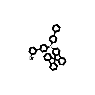 Brc1cccc(-c2ccc(N(c3ccc(-c4ccccc4)cc3)c3ccc4c(c3)C3(c5ccccc5-c5ccccc53)c3ccccc3-4)cc2)c1